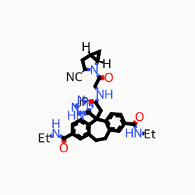 CCNC(=O)c1ccc2c(c1)CCc1cc(C(=O)NCC)ccc1C2(C[C@H](NCC(=O)N1[C@H](C#N)C[C@@H]2C[C@@H]21)C(C)C)c1nnn[nH]1